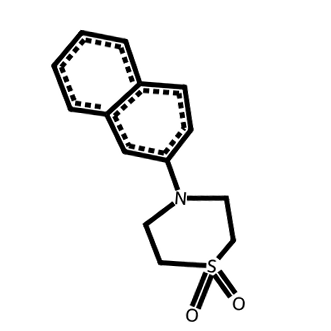 O=S1(=O)CCN(c2ccc3ccccc3c2)CC1